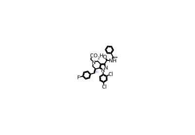 C[C@@H](NC(=O)c1nn(-c2ccc(Cl)cc2Cl)c2c1CN(CC(=O)O)C/C2=C\c1ccc(F)cc1)c1ccccc1